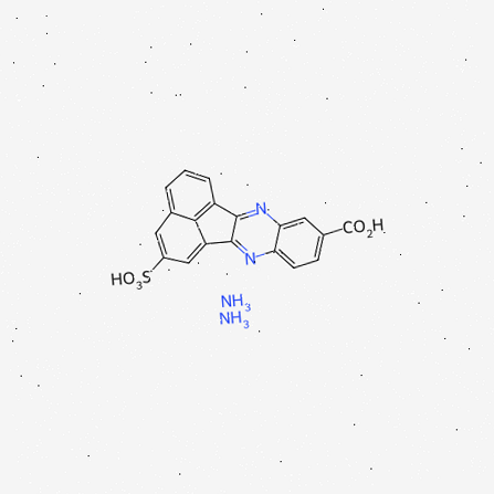 N.N.O=C(O)c1ccc2nc3c(nc2c1)-c1cccc2cc(S(=O)(=O)O)cc-3c12